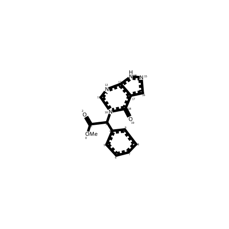 COC(=O)C(c1ccccc1)n1cnc2[nH]ncc2c1=O